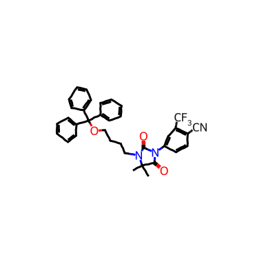 CC1(C)C(=O)N(c2ccc(C#N)c(C(F)(F)F)c2)C(=O)N1CCCCOC(c1ccccc1)(c1ccccc1)c1ccccc1